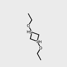 CCO[SiH]1C[SiH](OCC)C1